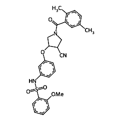 COc1ccccc1S(=O)(=O)Nc1cccc(OC2CN(C(=O)c3cc(C)ccc3C)CC2C#N)c1